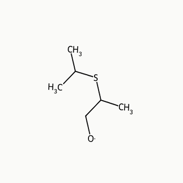 CC(C)SC(C)C[O]